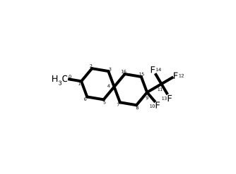 CC1CCC2(CC1)CCC(F)(C(F)(F)F)CC2